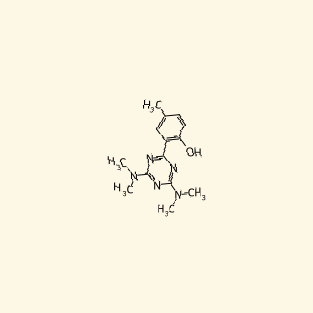 Cc1ccc(O)c(-c2nc(N(C)C)nc(N(C)C)n2)c1